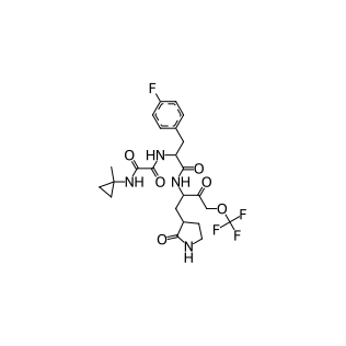 CC1(NC(=O)C(=O)NC(Cc2ccc(F)cc2)C(=O)NC(CC2CCNC2=O)C(=O)COC(F)(F)F)CC1